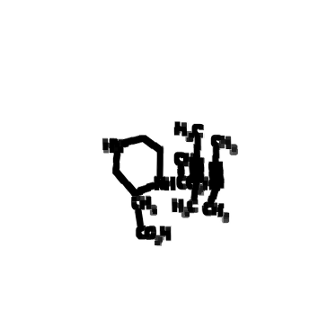 C1CNCCN1.CC#CC.CC#CC.CC(=O)O.CC(=O)O